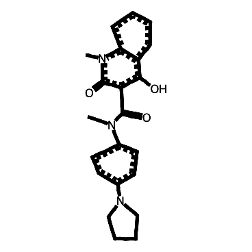 CN(C(=O)c1c(O)c2ccccc2n(C)c1=O)c1ccc(N2CCCC2)cc1